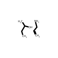 C=CCN.CCC(C)O